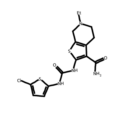 CCN1CCc2c(sc(NC(=O)Nc3ccc(Cl)s3)c2C(N)=O)C1